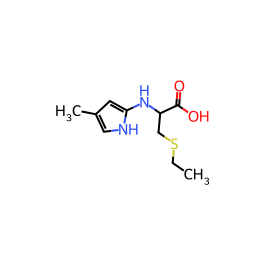 CCSCC(Nc1cc(C)c[nH]1)C(=O)O